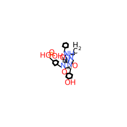 C=CCN1CC(=O)N2[C@@H](Cc3ccc(O)cc3)C(=O)N(Cc3ccc(CP(=O)(O)O)cc3)C[C@@H]2N1C(=O)NCc1ccccc1